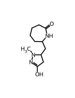 CN1N=C(O)CC1CC1CCCCC(=O)N1